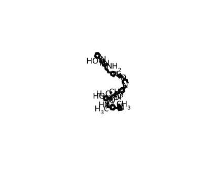 CC(C)[C@@H](C(=O)N1C[C@H](O)C[C@H]1C(=O)N[C@@H](C)c1ccc(-c2ccnn2C)cc1)c1cc(N2CCC(CN3CCC(OC4CC(N5CCC(C/C=C/c6cn7cc(-c8ccccc8O)nc7nc6N)CC5)C4)CC3)CC2)no1